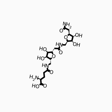 NC(=O)C[C@@H]1O[C@H](CNC(=O)C[C@@H]2O[C@H](CNC(=O)CC[C@H](N)C(=O)O)[C@@H](O)[C@H]2O)[C@@H](O)[C@H]1O